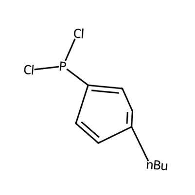 CCCCc1ccc(P(Cl)Cl)cc1